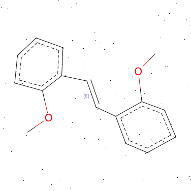 COc1ccccc1/C=C/c1ccccc1OC